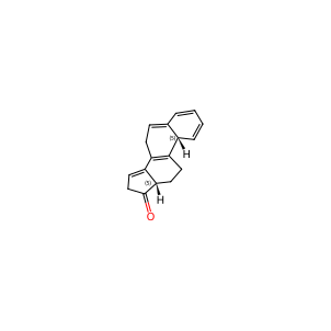 O=C1CC=C2C3=C(CC[C@H]12)[C@H]1C=CC=CC1=CC3